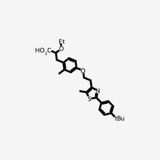 CCOC(Cc1ccc(OCCc2nc(-c3ccc(C(C)(C)C)cc3)sc2C)cc1C)C(=O)O